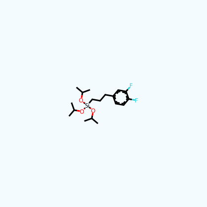 CC(C)O[Si](CCCc1ccc(F)c(F)c1)(OC(C)C)OC(C)C